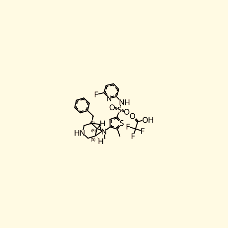 Cc1sc(S(=O)(=O)Nc2cccc(F)n2)cc1N(C)[C@@H]1[C@H]2CC[C@@]1(Cc1ccccc1)CNC2.O=C(O)C(F)(F)F